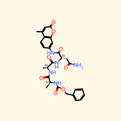 Cc1cc(=O)oc2cc(NC(=O)[C@H](CC(N)=O)NC(=O)[C@H](C)NC(=O)[C@H](C)NC(=O)OCc3ccccc3)ccc12